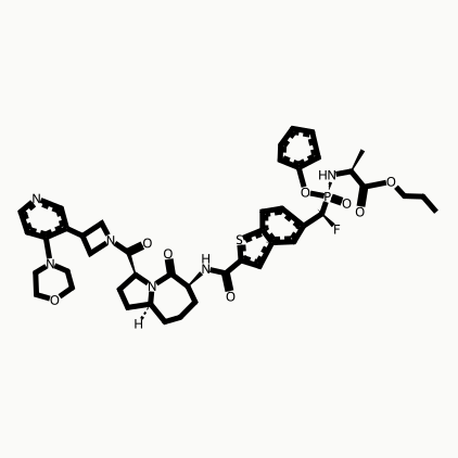 CCCOC(=O)[C@H](C)N[P@@](=O)(Oc1ccccc1)[C@@H](F)c1ccc2sc(C(=O)N[C@H]3CCC[C@H]4CC[C@@H](C(=O)N5CC(c6cnccc6N6CCOCC6)C5)N4C3=O)cc2c1